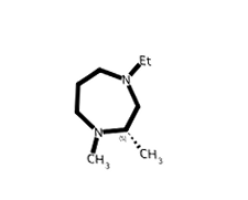 CCN1CCCN(C)[C@@H](C)C1